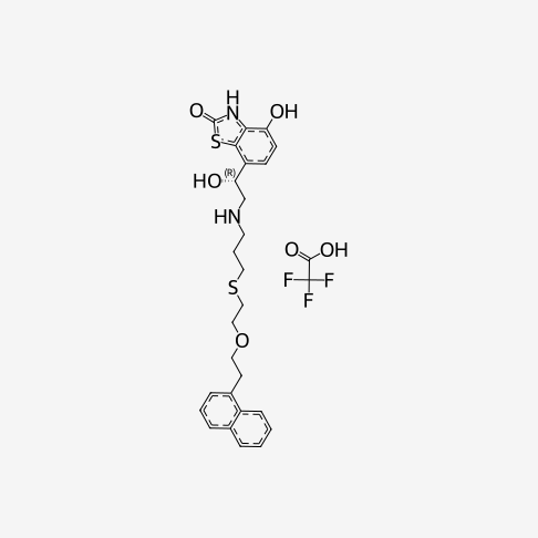 O=C(O)C(F)(F)F.O=c1[nH]c2c(O)ccc([C@@H](O)CNCCCSCCOCCc3cccc4ccccc34)c2s1